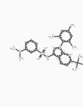 Cc1cc(C)c(-n2nc(NS(=O)(=O)c3cccc(N(C)C)c3)c3ccc(C(C)(C)C)nc32)c(C)c1